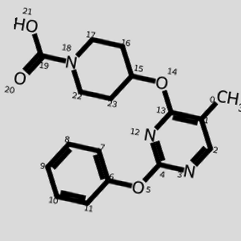 Cc1cnc(Oc2ccccc2)nc1OC1CCN(C(=O)O)CC1